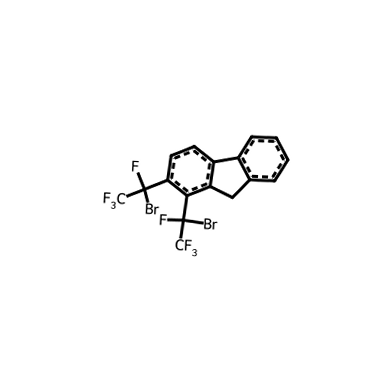 FC(F)(F)C(F)(Br)c1ccc2c(c1C(F)(Br)C(F)(F)F)Cc1ccccc1-2